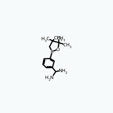 CC1(C)CB(c2cccc(C(N)N)c2)OC1(C)C